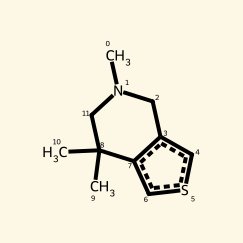 CN1Cc2cscc2C(C)(C)C1